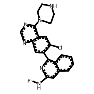 CC(C)Nc1cc2ccccc2c(-c2cc3ncnc(N4CCNCC4)c3cc2Cl)n1